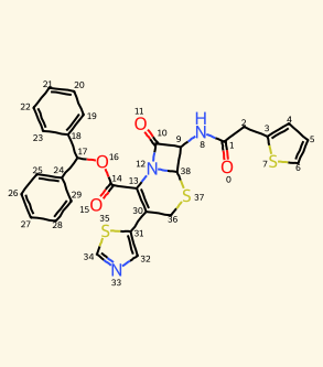 O=C(Cc1cccs1)NC1C(=O)N2C(C(=O)OC(c3ccccc3)c3ccccc3)=C(c3cncs3)CSC12